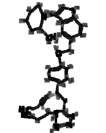 CC#C[C@@H](Cc1nnnn1CCC#N)c1ccc(OCc2ccc3scc(N4CCCCC4C)c3c2)cc1